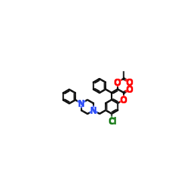 CC(=O)Oc1c(-c2ccccc2)c2cc(CN3CCN(c4ccccc4)CC3)c(Cl)cc2oc1=O